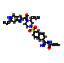 CCOC(=O)C1CN(S(=O)(=O)c2ccc3cc(C(=N)NC(=O)OC)ccc3c2)CCN1C(=O)c1nc2c(s1)CNC(C)C2